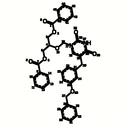 O=C(OCC(COC(=O)c1ccccc1)OCn1cc(Cc2cccc(OCc3ccccc3)c2)c(=O)[nH]c1=O)c1ccccc1